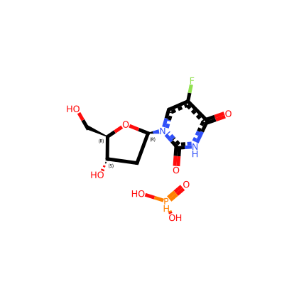 O=[PH](O)O.O=c1[nH]c(=O)n([C@H]2C[C@H](O)[C@@H](CO)O2)cc1F